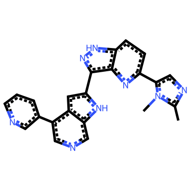 Cc1ncc(-c2ccc3[nH]nc(-c4cc5c(-c6cccnc6)cncc5[nH]4)c3n2)n1C